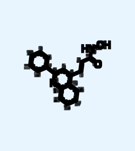 O=C(C=Cc1cc(-c2ccccc2)nc2ccccc12)NO